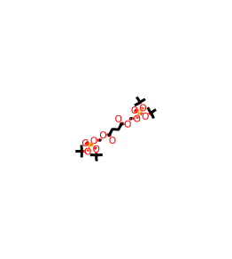 CC(C)(C)OP(=O)(OCOC(=O)CCC(=O)OCOP(=O)(OC(C)(C)C)OC(C)(C)C)OC(C)(C)C